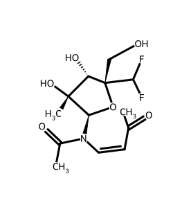 CC(=O)/C=C\N(C(C)=O)[C@@H]1O[C@@](CO)(C(F)F)[C@@H](O)[C@@]1(C)O